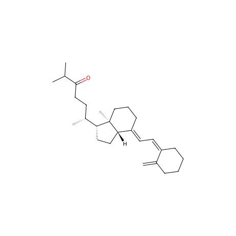 C=C1CCCC/C1=C/C=C1\CCC[C@]2(C)[C@@H]([C@H](C)CCC(=O)C(C)C)CC[C@@H]12